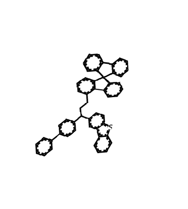 c1ccc(-c2ccc(C(CCc3cccc4c3-c3ccccc3C43c4ccccc4-c4ccccc43)c3ccc4sc5ccccc5c4c3)cc2)cc1